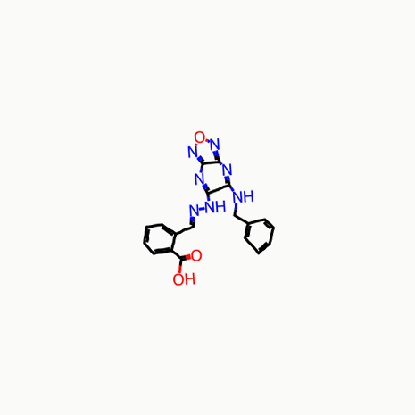 O=C(O)c1ccccc1C=NNc1nc2nonc2nc1NCc1ccccc1